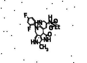 CCS(=O)(=O)NC1=CC2=C(NC1)N(c1ccc(F)cc1F)CC1=CNC(C)C3=C1C2C(=O)N3